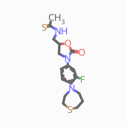 CC(=S)NCC1CN(c2ccc(N3CCCSCC3)c(F)c2)C(=O)O1